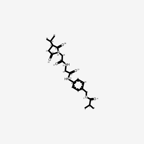 CC(C)C(=O)OCc1ccc(NC(=O)CNC(=O)CN2C(=O)CC(C(C)C)C2=O)cc1